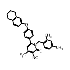 [C-]#[N+]c1c(C(F)(F)F)cc(-c2ccc(Oc3ccc4c(c3)CCCC4)cc2)n(Cc2ccc(C)cc2C)c1=O